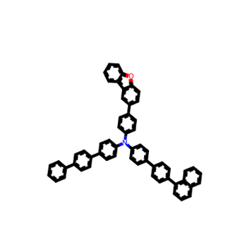 c1ccc(-c2ccc(-c3ccc(N(c4ccc(-c5ccc(-c6cccc7ccccc67)cc5)cc4)c4ccc(-c5ccc6oc7ccccc7c6c5)cc4)cc3)cc2)cc1